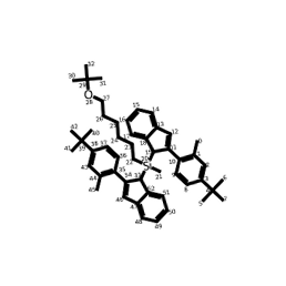 Cc1cc(C(C)(C)C)ccc1C1=Cc2ccccc2C1[Si](C)(CCCCCCOC(C)(C)C)C1C(c2ccc(C(C)(C)C)cc2C)=Cc2ccccc21